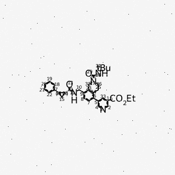 CCOC(=O)c1cncc(-c2ccc(CNC(=O)[C@@H]3C[C@H]3c3ccccc3)c3c2CCN(C(=O)NC(C)(C)C)C3)c1